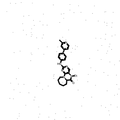 CCN1C(=O)C2CCCCCN2c2nc(Nc3ccc(-c4ccnc(C)c4)cc3)ncc21